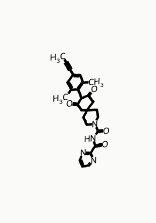 CC#Cc1cc(C)c(C2C(=O)CC3(CCN(C(=O)NC(=O)c4ncccn4)CC3)CC2=O)c(C)c1